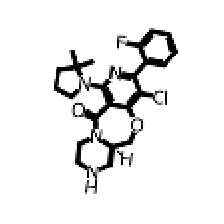 CC1(C)CCCN1c1nc(-c2ccccc2F)c(Cl)c2c1C(=O)N1CCNC[C@@H]1CO2